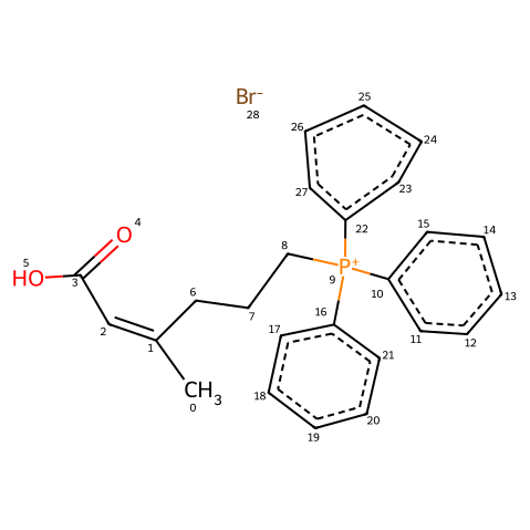 C/C(=C/C(=O)O)CCC[P+](c1ccccc1)(c1ccccc1)c1ccccc1.[Br-]